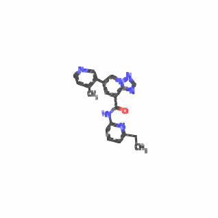 CCc1cccc(NC(=O)c2cc(-c3cnccc3C)cn3ncnc23)n1